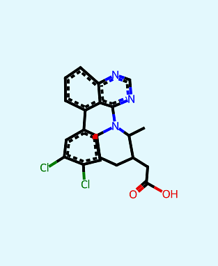 CC1C(CC(=O)O)CCCN1c1ncnc2cccc(-c3ccc(Cl)c(Cl)c3)c12